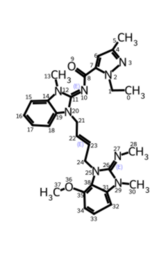 CCn1nc(C)cc1C(=O)/N=c1\n(C)c2ccccc2n1C/C=C/Cn1/c(=N/C)n(C)c2cccc(OC)c21